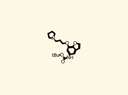 CC(C)(C)OC(=O)Nc1cc(OCCCN2CCCC2)c2occc2c1